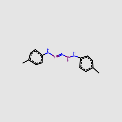 Cc1ccc(NP=NPNc2ccc(C)cc2)cc1